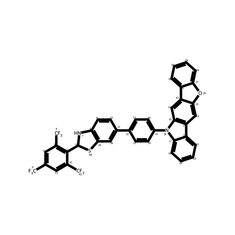 FC(F)(F)c1cc(C(F)(F)F)c(C2Nc3ccc(-c4ccc(-n5c6ccccc6c6cc7oc8ccccc8c7cc65)cc4)cc3S2)c(C(F)(F)F)c1